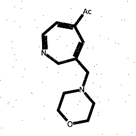 CC(=O)C1=CC=NCC(CN2CCOCC2)=C1